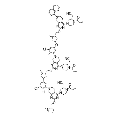 C=CC(=O)N1CCN(c2nc(OC[C@@H]3C[C@H](Oc4cc(Cl)c(C)c(N5CCc6c(nc(OC[C@@H]7CC(c8cc(Cl)c(Cl)c(N9CCc%10c(nc(OC[C@@H]%11CCCN%11C)nc%10N%10CCN(C(=O)C=C)[C@@H](CC#N)C%10)C9)c8)CN7C)nc6N6CCN(C(=O)C=C)[C@@H](CC#N)C6)C5)c4)CN3C)nc3c2CCN(c2cccc4ccccc24)C3)CC1CC#N